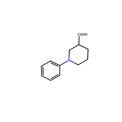 COC1CCCN(c2c[c]ccc2)C1